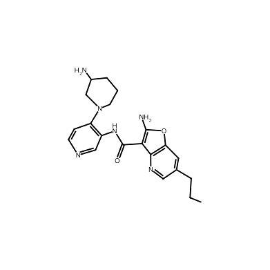 CCCc1cnc2c(C(=O)Nc3cnccc3N3CCCC(N)C3)c(N)oc2c1